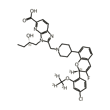 [2H]C([2H])([2H])Oc1cc(Cl)ccc1[C@]1([2H])Oc2c(cccc2C2CCN(Cc3nc4ccc(C(=O)O)nc4n3C[C@@H](O)CC)CC2)C=C1F